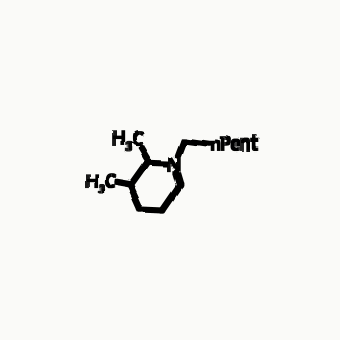 CCCCCCN1CCCC(C)C1C